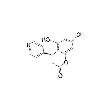 O=C1C[C@@H](c2ccncc2)c2c(O)cc(O)cc2O1